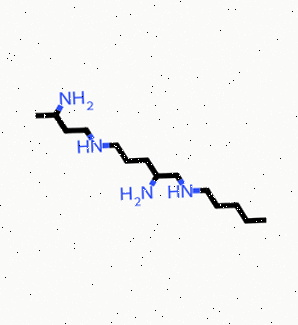 CCCCCNCC(N)CCCNCCC(C)N